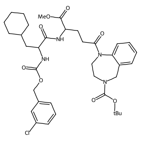 COC(=O)C(CCC(=O)N1CCN(C(=O)OC(C)(C)C)Cc2ccccc21)NC(=O)C(CC1CCCCC1)NC(=O)OCc1cccc(Cl)c1